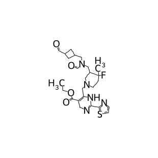 CCOC(=O)C1=C(CN2CCC(C)(F)C(CN(C=O)CC3CC(C=O)C3)C2)NC(c2nccs2)=NC1